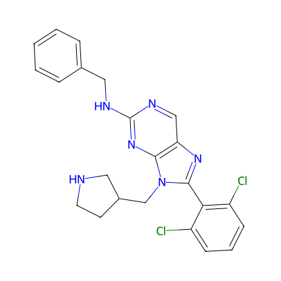 Clc1cccc(Cl)c1-c1nc2cnc(NCc3ccccc3)nc2n1CC1CCNC1